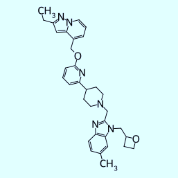 CCc1cc2c(COc3cccc(C4CCN(Cc5nc6ccc(C)cc6n5CC5CCO5)CC4)n3)cccn2n1